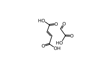 O=C(O)C=CC(=O)O.O=CC(=O)O